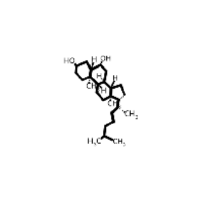 CC(C)CCC[C@@H](C)[C@H]1CC[C@H]2[C@@H]3C[C@H](O)[C@H]4CC(O)CC[C@]4(C)[C@H]3CC[C@]12C